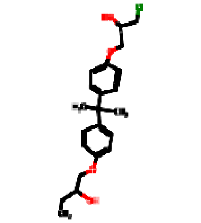 CCC(O)COc1ccc(C(C)(C)c2ccc(OCC(O)CCl)cc2)cc1